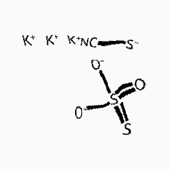 N#C[S-].O=S([O-])([O-])=S.[K+].[K+].[K+]